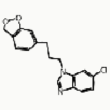 Clc1ccc2ncn(CCCc3ccc4c(c3)OOC4)c2c1